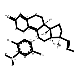 CC=C[C@]1(O)CC[C@H]2[C@@H]3CCC4=CC(=O)CCC4=C3[C@@H](c3cc(F)c(N(C)C)cc3F)C[C@@]21C